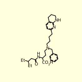 CCC(CC)CC(=O)NC(CCN(CCCCc1ccc2c(n1)NCCC2)Cc1ccccc1)C(=O)O